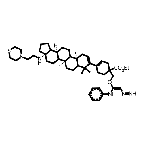 CCOC(=O)C1(CO/C(=C/N=N)Nc2ccccc2)CC=C(C2=CC[C@@]3(C)C(CC[C@@]4(C)C5CC[C@@]6(NCCN7CCSCC7)CCCC6[C@H]5CCC43)C2(C)C)CC1